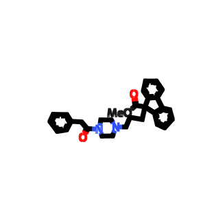 COC(=O)C1(CCCN2CCN(C(=O)Cc3ccccc3)CC2)c2ccccc2-c2ccccc21